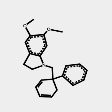 COc1cc2c(cc1OC)N(CC1(c3ccccc3)C=CC=CC1)CC2